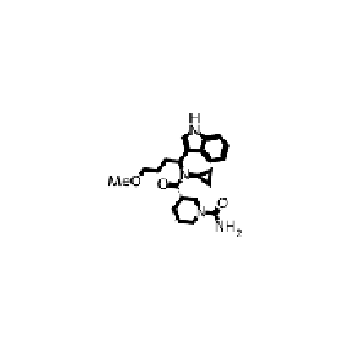 COCCCC(c1c[nH]c2ccccc12)N(C(=O)[C@H]1C[CH]CN(C(N)=O)C1)C1CC1